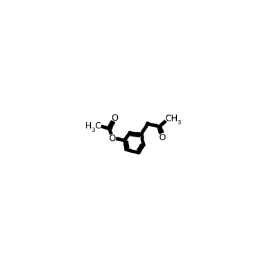 CC(=O)Cc1cccc(OC(C)=O)c1